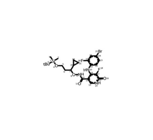 CC(C)(C)[Si](C)(C)OCCC(ONC(=O)c1c[nH]c(=O)c(F)c1Nc1ccc(Br)cc1F)C1CC1